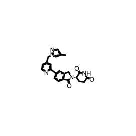 Cc1cnn(Cc2ccnc(-c3ccc4c(c3)CN([C@H]3CCC(=O)NC3=O)C4=O)c2)c1